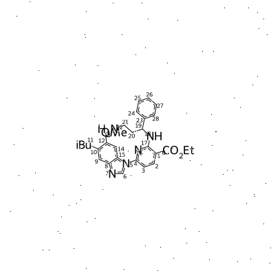 CCOC(=O)c1ccc(-n2cnc3cc(C(C)CC)c(OC)cc32)nc1NC(CCN)c1ccccc1